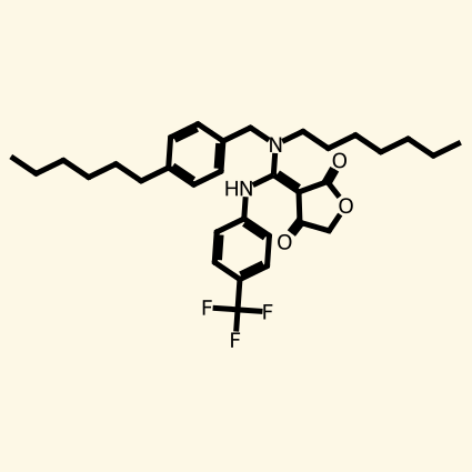 CCCCCCCN(Cc1ccc(CCCCCC)cc1)/C(Nc1ccc(C(F)(F)F)cc1)=C1/C(=O)COC1=O